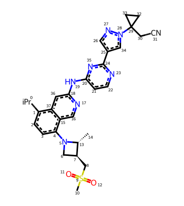 CC(C)c1ccc(N2C[C@H](CS(C)(=O)=O)[C@H]2C)c2cnc(Nc3ccnc(-c4cnn(C5(CC#N)CC5)c4)n3)cc12